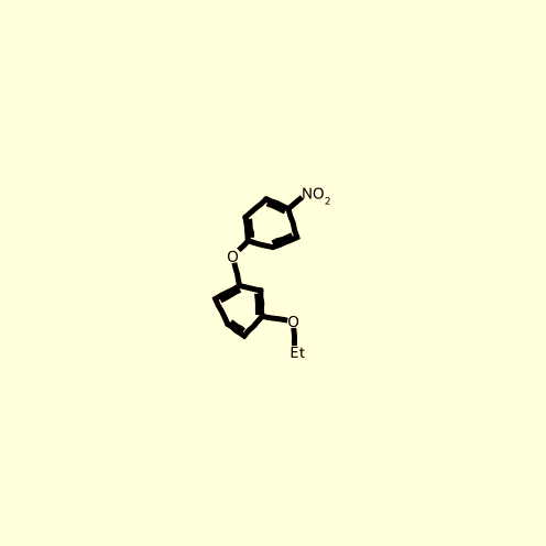 CCOc1cccc(Oc2ccc([N+](=O)[O-])cc2)c1